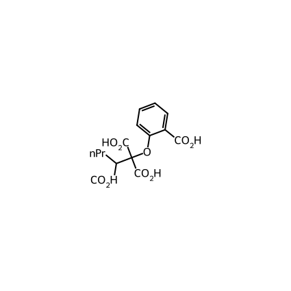 CCCC(C(=O)O)C(Oc1ccccc1C(=O)O)(C(=O)O)C(=O)O